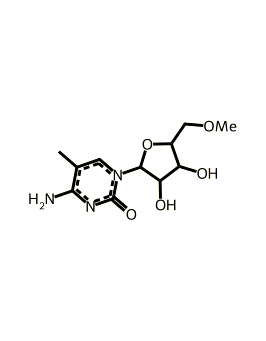 COCC1OC(n2cc(C)c(N)nc2=O)C(O)C1O